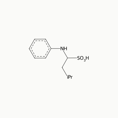 CC(C)CC(Nc1ccccc1)S(=O)(=O)O